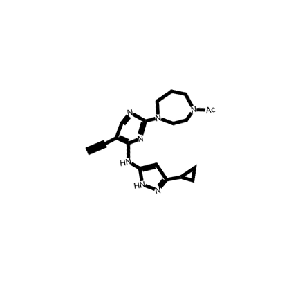 C#Cc1cnc(N2CCCN(C(C)=O)CC2)nc1Nc1cc(C2CC2)n[nH]1